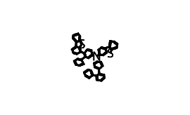 c1ccc(-c2ccccc2-c2ccc(N(c3ccc(-c4cccc5c4sc4ccccc45)c(-c4ccccc4)c3)c3ccc4c(c3)sc3ccccc34)cc2)cc1